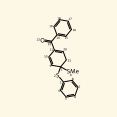 CSC1(Sc2ccccc2)C=CC(C(=O)c2ccccc2)=CC1